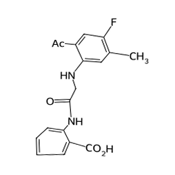 CC(=O)c1cc(F)c(C)cc1NCC(=O)Nc1ccccc1C(=O)O